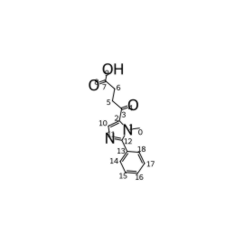 Cn1c(C(=O)CCC(=O)O)cnc1-c1ccccc1